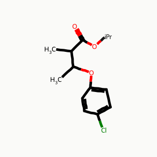 CC(C)OC(=O)C(C)C(C)Oc1ccc(Cl)cc1